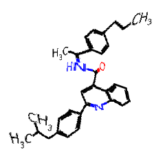 CCCc1ccc(C(C)NC(=O)c2cc(-c3ccc(CC(C)C)cc3)nc3ccccc23)cc1